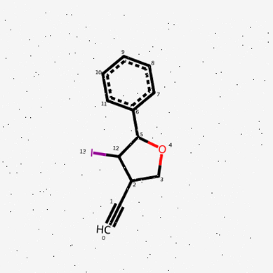 C#CC1COC(c2ccccc2)C1I